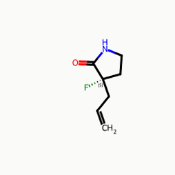 C=CC[C@]1(F)CCNC1=O